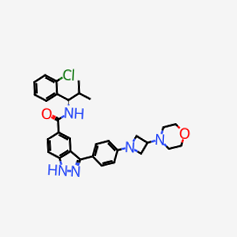 CC(C)[C@H](NC(=O)c1ccc2[nH]nc(-c3ccc(N4CC(N5CCOCC5)C4)cc3)c2c1)c1ccccc1Cl